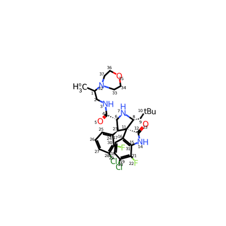 CC(CNC(=O)[C@@H]1N[C@H](CC(C)(C)C)[C@]2(C(=O)Nc3c2ccc(Cl)c3F)[C@H]1c1cccc(Cl)c1F)N1CCOCC1